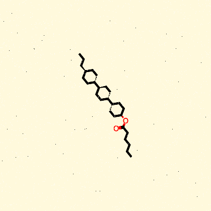 CCCCCC(=O)O[C@H]1CC[C@H]([C@H]2CC[C@H]([C@H]3CC[C@H](CCC)CC3)CC2)CC1